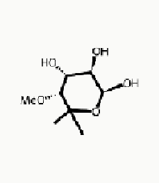 CO[C@@H]1[C@H](O)[C@@H](O)[C@@H](O)OC1(C)C